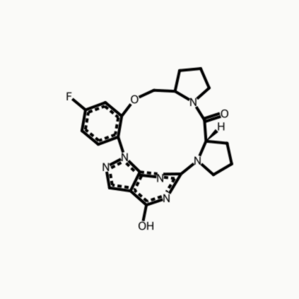 O=C1[C@@H]2CCCN2c2nc(O)c3cnn(c3n2)-c2ccc(F)cc2OCC2CCCN12